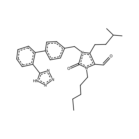 CCCCCn1c(C=O)c(CCC(C)C)n(Cc2ccc(-c3ccccc3-c3nnn[nH]3)cc2)c1=O